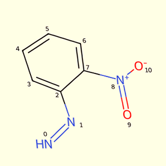 N=Nc1ccccc1[N+](=O)[O-]